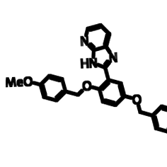 COc1ccc(COc2ccc(OCc3ccccc3)cc2-c2nc3cccnc3[nH]2)cc1